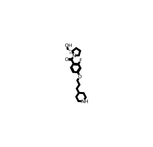 O=C(c1ccc(OCCCC2CCNCC2)cc1F)N1CCC[C@H]1CO